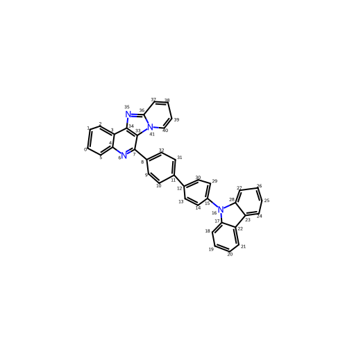 c1ccc2c(c1)nc(-c1ccc(-c3ccc(-n4c5ccccc5c5ccccc54)cc3)cc1)c1c2nc2ccccn21